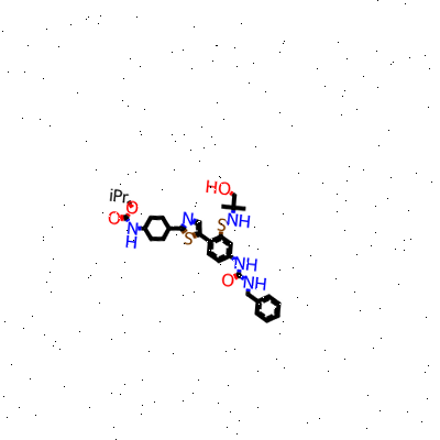 CC(C)OC(=O)NC1CCC(c2ncc(-c3ccc(NC(=O)NCc4ccccc4)cc3SNC(C)(C)CO)s2)CC1